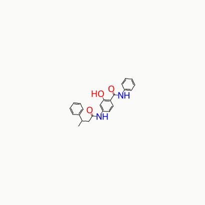 CC(CC(=O)Nc1ccc(C(=O)Nc2ccccc2)c(O)c1)c1ccccc1